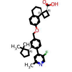 Cc1cc(-c2ccc(COc3ccc4c(c3)[C@@]3(CCC4)CC[C@H]3C(=O)O)cc2[C@@H]2CCCC2(C)C)c(F)cn1